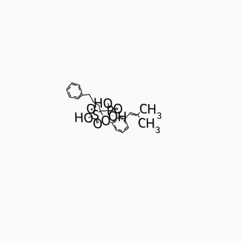 CC(C)=Cc1cccc(OC(CCCc2ccccc2)(P(=O)(O)O)S(=O)(=O)O)c1